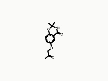 CC(=O)COc1ccc2c(c1)C(=O)NC(C)(C)O2